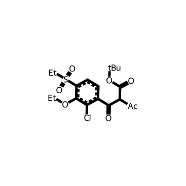 CCOc1c(S(=O)(=O)CC)ccc(C(=O)C(C(C)=O)C(=O)OC(C)(C)C)c1Cl